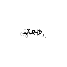 CCC(=O)C(=O)N(Cc1ccc(-c2noc(C(F)(F)F)n2)s1)C1CC1